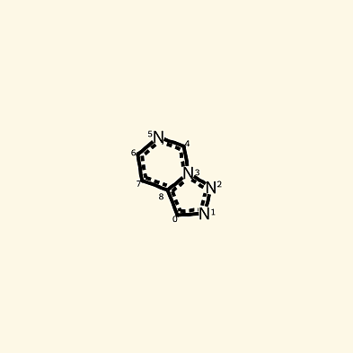 [c]1nnn2cnccc12